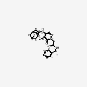 C[C@@H](NC(=O)Cn1ncc(NC23CC4CC(CC2C4)C3)c(Cl)c1=O)c1ccncc1